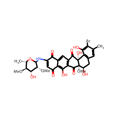 CO[C@@H]1[C@@H](O)[C@@H](OC)C(NC2=CC(=O)c3c(cc4c(c3O)C(=O)[C@]3(OC)[C@H](O)Cc5cc(C)c(C(C)=O)c(O)c5[C@]3(O)C4=O)C2=O)O[C@H]1C